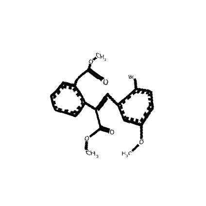 COC(=O)/C(=C\c1cc(OC)ccc1Br)c1ccccc1C(=O)OC